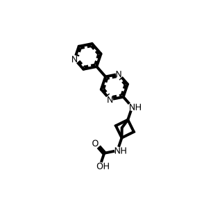 O=C(O)NC12CC(Nc3cnc(-c4cccnc4)cn3)(C1)C2